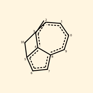 [c]1cc2cc3c(ccc-3c1)C2